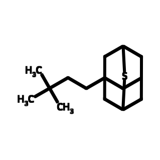 CC(C)(C)CCC12CC3CC(C1)SC(C3)C2